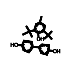 Cc1cc(C(C)(C)C)c(O)c(C(C)(C)C)c1.Oc1ccc(-c2ccc(O)cc2)cc1